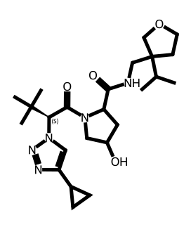 CC(C)C1(CNC(=O)C2CC(O)CN2C(=O)[C@@H](n2cc(C3CC3)nn2)C(C)(C)C)CCOC1